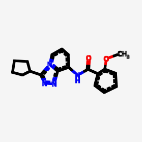 COc1ccccc1C(=O)Nc1cccn2c(C3CCCC3)nnc12